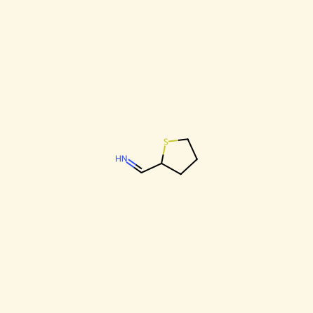 N=CC1CCCS1